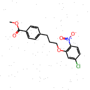 COC(=O)c1ccc(CCCOc2cc(Cl)ccc2[N+](=O)[O-])cc1